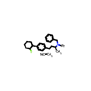 CC#N.CC(C)N(Cc1ccccc1)C(C)CCc1ccc(C2CCCCC2F)cc1